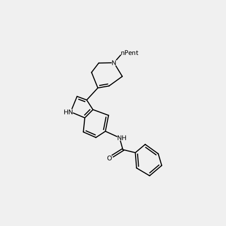 CCCCCN1CC=C(c2c[nH]c3ccc(NC(=O)c4ccccc4)cc23)CC1